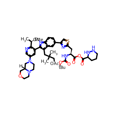 CCn1c(-c2cc(N3CCN4CCOC[C@@H]4C3)cnc2[C@H](C)OC)c(CC(C)(C)COC(C)=O)c2cc(-c3csc(C[C@H](NC(=O)OC(C)(C)C)C(=O)OC(=O)C4CCCNN4)n3)ccc21